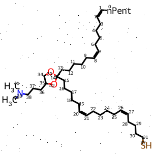 CCCCC/C=C\CCCC/C=C\CCCCCC1(CCCCC/C=C\CCCC/C=C\CCCCS)OCC(CCCN(C)C)O1